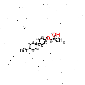 CCCC1CCC(c2ccc(OCC(C)O)cc2)CC1